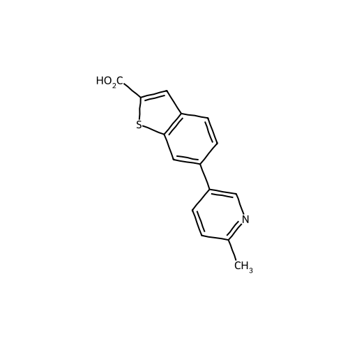 Cc1ccc(-c2ccc3cc(C(=O)O)sc3c2)cn1